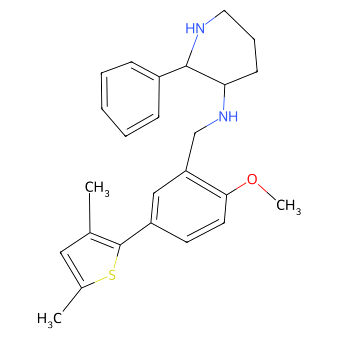 COc1ccc(-c2sc(C)cc2C)cc1CNC1CCCNC1c1ccccc1